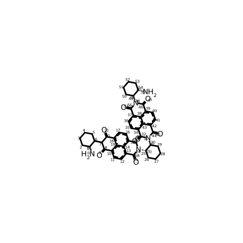 N[C@H]1CCCCC1C1C(=O)c2ccc3c4c(ccc(c24)C1=O)C(=O)N([C@H]1CCCC[C@@H]1N1C(=O)c2ccc4c5c(ccc(c25)C1=O)C(=O)N([C@H]1CCCC[C@@H]1N)C4=O)C3=O